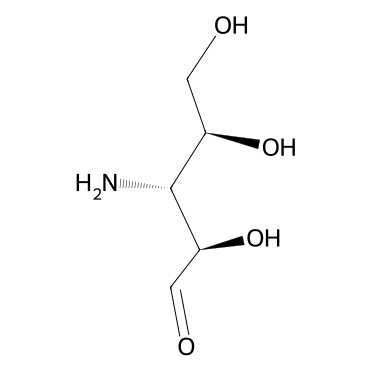 N[C@H]([C@H](O)CO)[C@@H](O)C=O